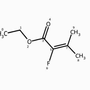 CCOC(=O)C(F)=C(C)C